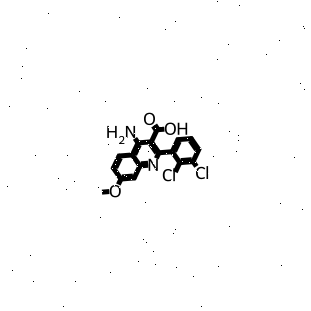 COc1ccc2c(N)c(C(=O)O)c(-c3cccc(Cl)c3Cl)nc2c1